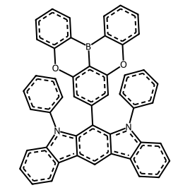 c1ccc(-n2c3ccccc3c3cc4c5ccccc5n(-c5ccccc5)c4c(-c4cc5c6c(c4)Oc4ccccc4B6c4ccccc4O5)c32)cc1